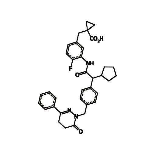 O=C(Nc1cc(CC2(C(=O)O)CC2)ccc1F)C(c1ccc(CN2N=C(c3ccccc3)CCC2=O)cc1)C1CCCC1